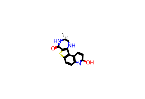 C[C@@H]1CNc2c(sc3ccc4nc(O)ccc4c23)C(=O)N1